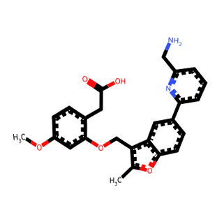 COc1ccc(CC(=O)O)c(OCc2c(C)oc3ccc(-c4cccc(CN)n4)cc23)c1